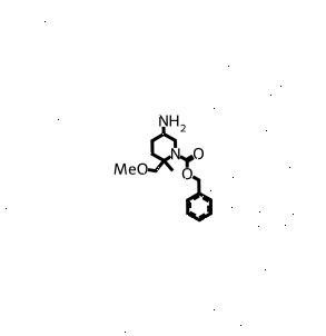 COCC1(C)CCC(N)CN1C(=O)OCc1ccccc1